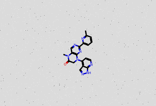 Cc1cccc(-c2ncc3c(n2)N(c2ccnc4[nH]ncc24)CC(=O)N3C)n1